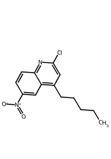 CCCCCc1cc(Cl)nc2ccc([N+](=O)[O-])cc12